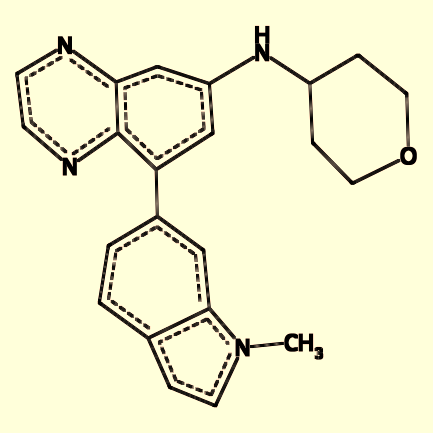 Cn1ccc2ccc(-c3cc(NC4CCOCC4)cc4nccnc34)cc21